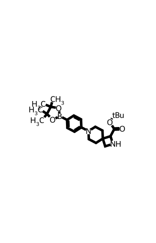 CC(C)(C)OC(=O)C1NCC12CCN(c1ccc(B3OC(C)(C)C(C)(C)O3)cc1)CC2